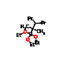 CCO[Si](OCC)(OCC)C(C)(C)C(C(C)C)C(C)C